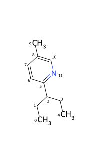 CCC(CC)c1ccc(C)cn1